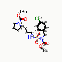 CC(C)(C)OC(=O)N1CCC[C@H]1CCCNS(=O)(=O)N(Cc1ccc(Cl)cc1)C(=O)OC(C)(C)C